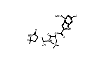 COc1cc(Cl)cc2[nH]c(C(=O)N[C@@H](C[Si](C)(C)C)C(=O)N[C@H](C#N)C[C@@H]3CC(C)(C)NC3=O)cc12